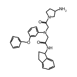 NC1CCN(C(=O)CN(CC(=O)NC2CCc3ccccc32)c2cccc(Oc3ccccc3)c2)C1